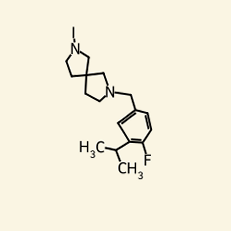 CC(C)c1cc(CN2CCC3(CCN(I)C3)C2)ccc1F